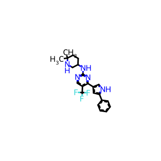 CC1(C)CCC(Nc2ncc(C(F)(F)F)c(-c3c[nH]c(-c4ccccc4)c3)n2)CN1